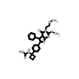 COCCn1c(SC)nc2oc(-c3ccc(C4(NC(=O)O)CCC4)cc3)c(-c3ccccc3)c2c1=O